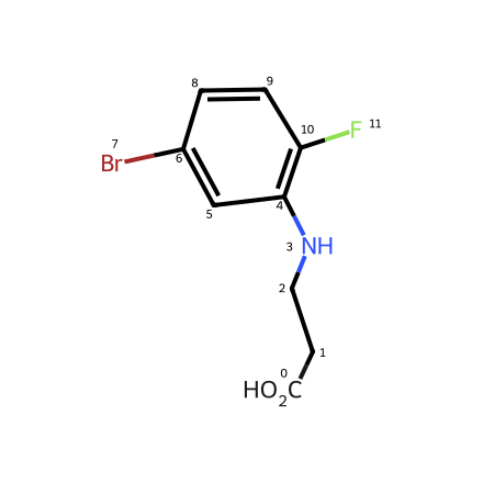 O=C(O)CCNc1cc(Br)ccc1F